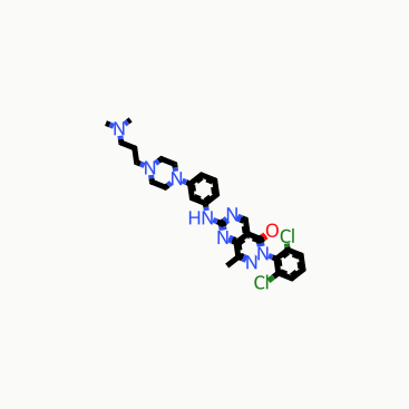 Cc1nn(-c2c(Cl)cccc2Cl)c(=O)c2cnc(Nc3cccc(N4CCN(CCCN(C)C)CC4)c3)nc12